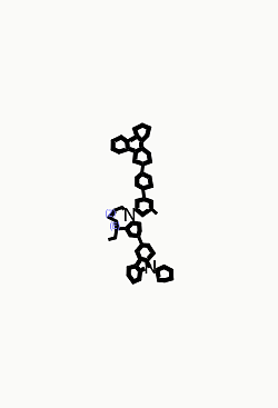 CC/C1=C\C=C/CN(c2cc(C)cc(-c3ccc(-c4ccc5c6ccccc6c6ccccc6c5c4)cc3)c2)c2ccc(-c3ccc4c(c3)c3ccccc3n4-c3ccccc3)cc21